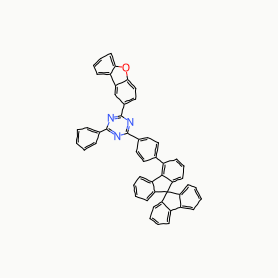 c1ccc(-c2nc(-c3ccc(-c4cccc5c4-c4ccccc4C54c5ccccc5-c5ccccc54)cc3)nc(-c3ccc4oc5ccccc5c4c3)n2)cc1